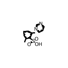 Cc1cccc(C)c1S(=O)(=O)O.c1cncnc1